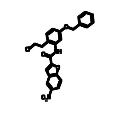 O=C(Nc1cc(OCc2ccccc2)ccc1CCCl)c1cc2cc([N+](=O)[O-])ccc2o1